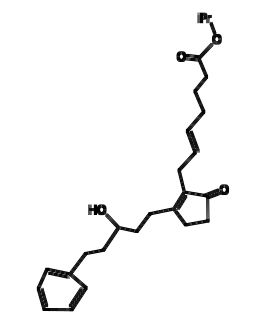 CC(C)OC(=O)CCC/C=C/CC1=C(CCC(O)CCc2ccccc2)CCC1=O